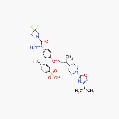 CC(C)c1noc(N2CCC(C(C)CCOc3ccc(C(N)C(=O)N4CCC(F)(F)C4)cc3)CC2)n1.Cc1ccc(S(=O)(=O)O)cc1